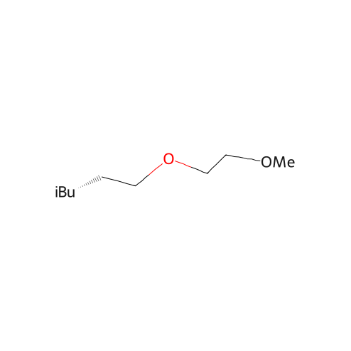 CC[C@@H](C)CCOCCOC